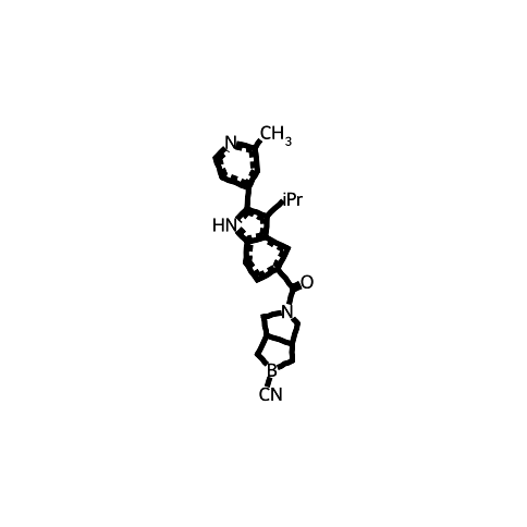 Cc1cc(-c2[nH]c3ccc(C(=O)N4CC5CB(C#N)CC5C4)cc3c2C(C)C)ccn1